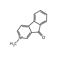 C[n+]1ccc2c(c1)C(=O)c1ccccc1-2